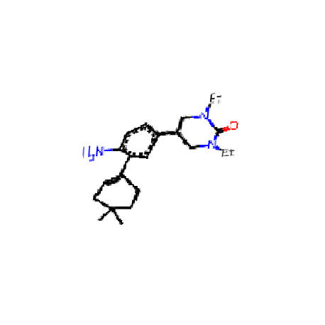 CCN1CC(c2ccc(N)c(C3=CCC(C)(C)CC3)c2)CN(CC)C1=O